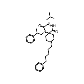 CC(C)C[C@@H]1NC(=O)C2(CCN(CCCCCc3ccccc3)CC2)N(CC(C)c2ccccc2)C1=O